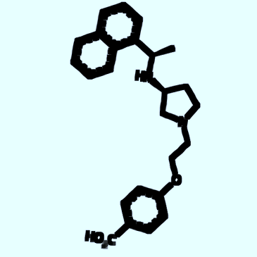 C[C@@H](N[C@H]1CCN(CCOc2ccc(C(=O)O)cc2)C1)c1cccc2ccccc12